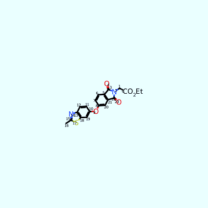 CCOC(=O)CN1C(=O)c2ccc(Oc3ccc4nc(C)sc4c3)cc2C1=O